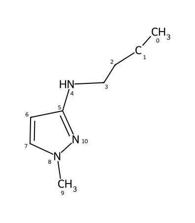 CCCCNc1ccn(C)n1